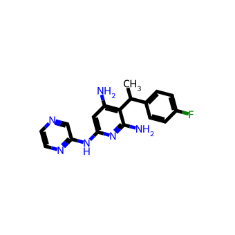 CC(c1ccc(F)cc1)c1c(N)cc(Nc2cnccn2)nc1N